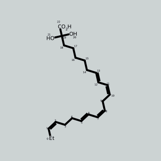 CC/C=C\CC/C=C/C=C\C/C=C\C=C\CCCCCC(O)(O)C(=O)O